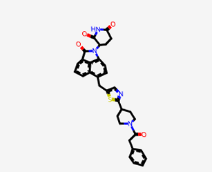 O=C1CCC(N2C(=O)c3cccc4c(Cc5cnc(C6CCN(C(=O)Cc7ccccc7)CC6)s5)ccc2c34)C(=O)N1